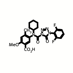 COc1cc(C)c(N(C(=O)n2nnn(-c3c(F)cccc3F)c2=O)C2CCCCC2)cc1C(=O)O